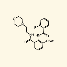 COc1cccc(C(=O)NCCN2CCOCC2)c1NC(=O)c1ccccc1F